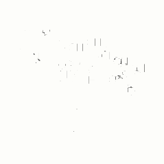 CC(C)(C)[Si](C)(C)OCC(=Cc1ccccc1)CN1CCOCC1.CS(=O)(=O)Cl